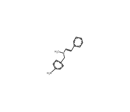 CN(C=Cc1ccccc1)Cc1ccc(N)cc1